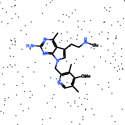 COc1c(C)cnc(Cn2cc(CCNC(C)(C)C)c3c(C)nc(N)nc32)c1C